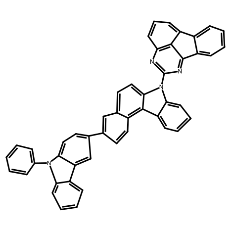 c1ccc(-n2c3ccccc3c3cc(-c4ccc5c(ccc6c5c5ccccc5n6-c5nc6c7c(cccc7n5)-c5ccccc5-6)c4)ccc32)cc1